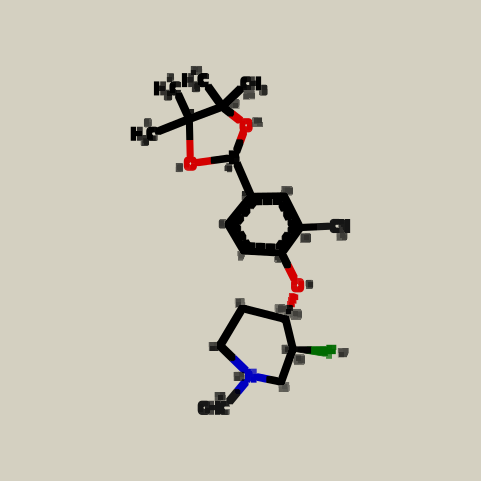 CC1(C)OB(c2ccc(O[C@H]3CCN(C=O)C[C@@H]3F)c(C#N)c2)OC1(C)C